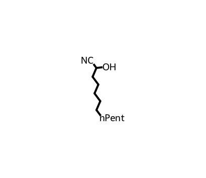 CCCCCCCCCCC(O)C#N